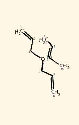 C=CCOCC=C.CC=CC